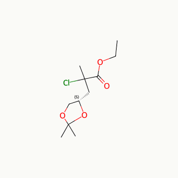 CCOC(=O)C(C)(Cl)C[C@H]1COC(C)(C)O1